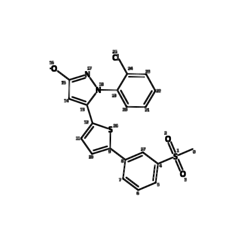 CS(=O)(=O)c1cccc(-c2ccc(-c3cc([O])nn3-c3ccccc3Cl)s2)c1